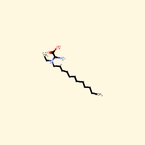 CCCCCCCCCCCCN(CC)C(N)C(=O)O